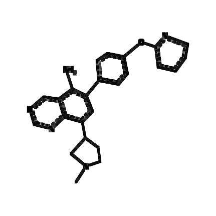 CN1CCC(c2cc(-c3ccc(Oc4ccccn4)cc3)c(N)c3cncnc23)C1